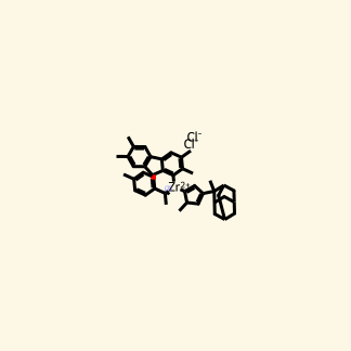 C/[C](c1ccc(C)cc1)=[Zr+2](\[C]1=CC(C2(C)C3CC4CC(C3)CC2C4)=CC1C)[c]1c(C)c(C)cc2c1Cc1cc(C)c(C)cc1-2.[Cl-].[Cl-]